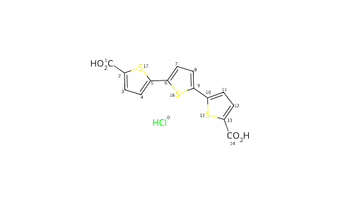 Cl.O=C(O)c1ccc(-c2ccc(-c3ccc(C(=O)O)s3)s2)s1